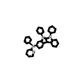 c1ccc(N(c2ccc3c4c5ccccc5n(-c5ccccc5)c4n(-c4ccccc4)c3c2)c2ccccn2)cc1